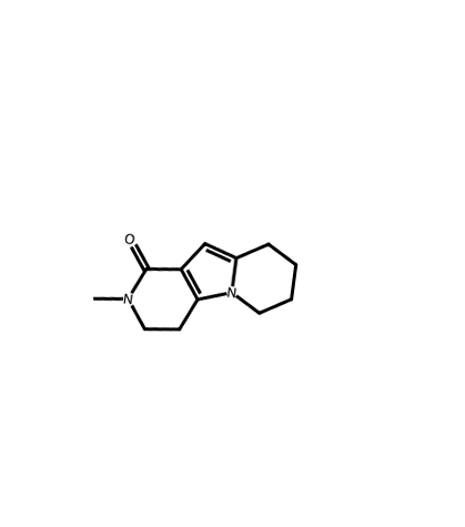 CN1CCc2c(cc3n2CCCC3)C1=O